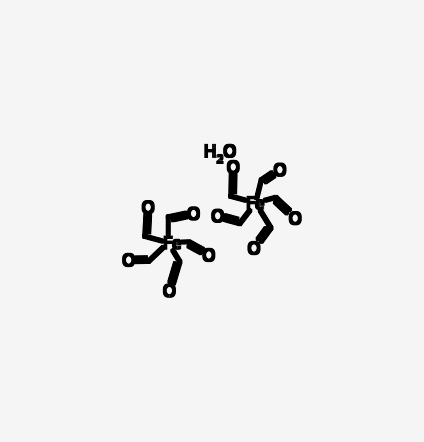 O.O=[CH][Fe]([CH]=O)([CH]=O)([CH]=O)[CH]=O.O=[CH][Fe]([CH]=O)([CH]=O)([CH]=O)[CH]=O